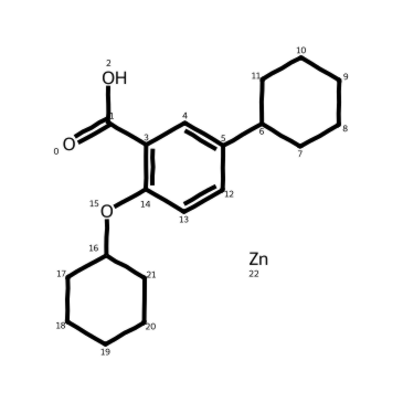 O=C(O)c1cc(C2CCCCC2)ccc1OC1CCCCC1.[Zn]